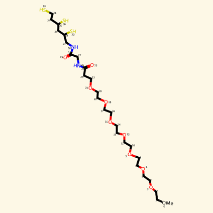 COCCOCCOCCOCCOCCOCCOCCOCCC(=O)NCC(=O)NCC(S)CC(S)CCS